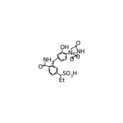 CCC(c1ccc(C(N)=O)c(Cc2ccc(N3CC(=O)NS3(=O)=O)c(O)c2)c1)S(=O)(=O)O